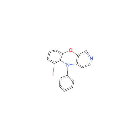 Ic1cccc2c1N(c1ccccc1)c1ccncc1O2